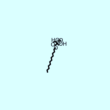 CCCCCCCCCCCCOC(=O)C(C)(CC)P(=O)(O)O